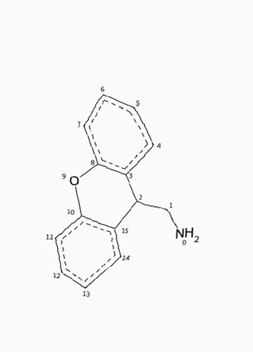 NCC1c2ccccc2Oc2ccccc21